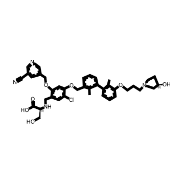 Cc1c(COc2cc(OCc3cncc(C#N)c3)c(CN[C@@H](CO)C(=O)O)cc2Cl)cccc1-c1cccc(OCCCN2CC[C@@H](O)C2)c1C